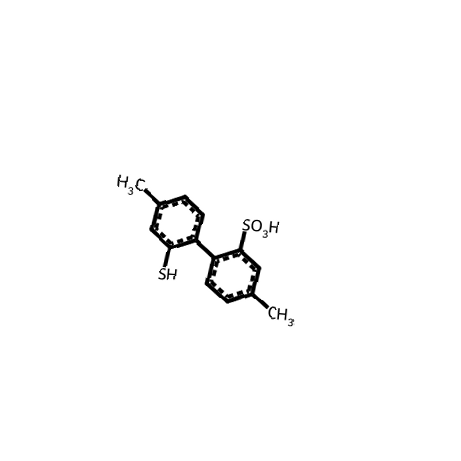 Cc1ccc(-c2ccc(C)cc2S(=O)(=O)O)c(S)c1